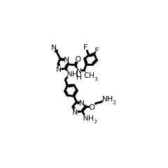 C[C@H](NC(=O)c1nc(C#N)cnc1NCc1ccc(-c2cnc(N)c(OCCN)n2)cc1)c1ccc(F)c(F)c1